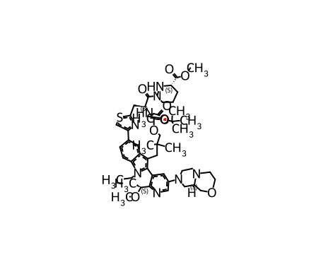 CCn1c(-c2cc(N3CCN4CCOC[C@@H]4C3)cnc2[C@H](C)OC)c(CC(C)(C)COC(C)=O)c2cc(-c3csc(C[C@H](NC(=O)OC(C)(C)C)C(=O)N4CCC[C@@H](C(=O)OC)N4)n3)ccc21